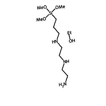 CCO.CO[Si](CCCNCCNCCN)(OC)OC